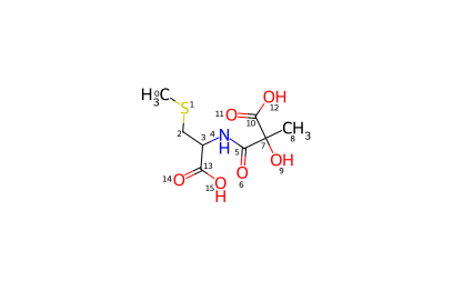 CSCC(NC(=O)C(C)(O)C(=O)O)C(=O)O